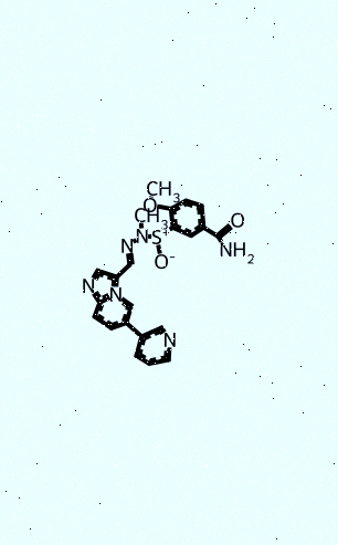 COc1ccc(C(N)=O)cc1[S+]([O-])N(C)N=Cc1cnc2ccc(-c3cccnc3)cn12